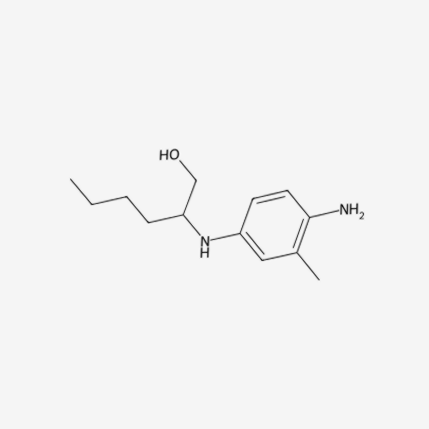 CCCCC(CO)Nc1ccc(N)c(C)c1